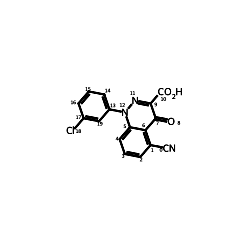 N#Cc1cccc2c1c(=O)c(C(=O)O)nn2-c1cccc(Cl)c1